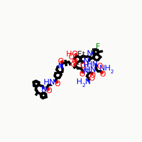 CCC(C)(CCC(=O)NC(CC(N)=O)C(=O)NC(CC(N)=O)C(=O)NC1CCc2c(C)c(F)cc3nc4c(c1c23)Cn1c-4cc2c(c1=O)COC(=O)C2(O)CC)OCCC(C)(C)C(=O)N1CCC2(CCC(C(=O)NCCC(=O)N3Cc4ccccc4/C=C(/C)c4ccccc43)CC2)CC1